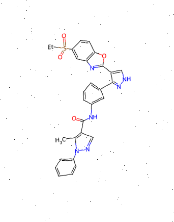 CCS(=O)(=O)c1ccc2oc(-c3c[nH]nc3-c3cccc(NC(=O)c4cnn(-c5ccccc5)c4C)c3)nc2c1